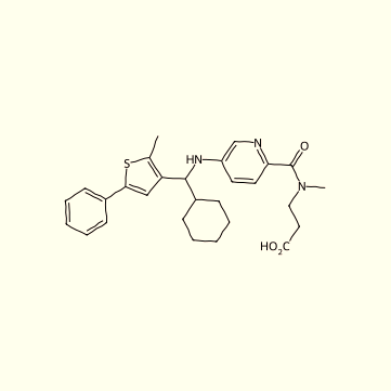 Cc1sc(-c2ccccc2)cc1C(Nc1ccc(C(=O)N(C)CCC(=O)O)nc1)C1CCCCC1